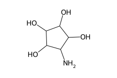 NC1C(O)C(O)C(O)C1O